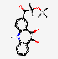 Cn1c2ccccc2c(=O)c(=O)c2cc(C(=O)C(C)(C)O[Si](C)(C)C)ccc21